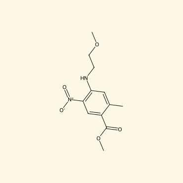 COCCNc1cc(C)c(C(=O)OC)cc1[N+](=O)[O-]